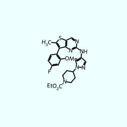 CCOC(=O)N1CCC(n2cc(Nc3ncc4sc(C)c(-c5ccc(F)cc5OC)c4n3)cn2)CC1